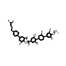 FC(F)=CCCc1ccc(-c2cc(F)c(OC(F)(F)c3cc(F)c(-c4ccc(-c5cc(F)c(OC(F)(F)F)c(F)c5)c(F)c4)c(Cl)c3)c(F)c2)cc1